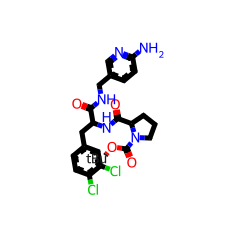 CC(C)(C)OC(=O)N1CCCC1C(=O)NC(Cc1ccc(Cl)c(Cl)c1)C(=O)NCc1ccc(N)nc1